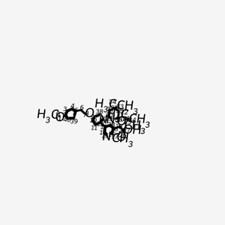 COc1ccc(CCOc2ccc(-c3cnc(C)c(C(OC(C)(C)C)C(=O)O)c3N3CCC(C)(C)CC3)nc2)cc1